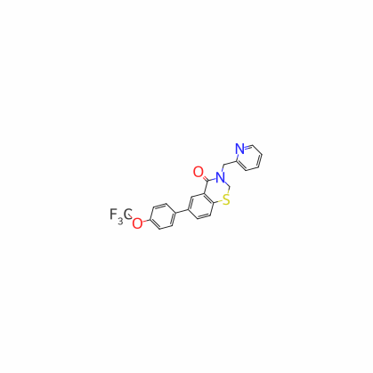 O=C1c2cc(-c3ccc(OC(F)(F)F)cc3)ccc2SCN1Cc1ccccn1